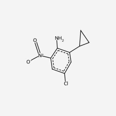 Nc1c(C2CC2)cc(Cl)cc1[N+](=O)[O-]